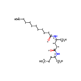 CCCCCCCCCCCCCCCCCCCC(=O)NC(CCC(=O)NC(CCC(=O)O)C(=O)O)C(=O)O